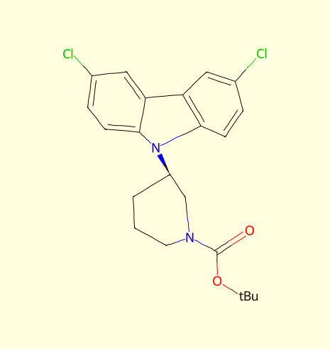 CC(C)(C)OC(=O)N1CCC[C@@H](n2c3ccc(Cl)cc3c3cc(Cl)ccc32)C1